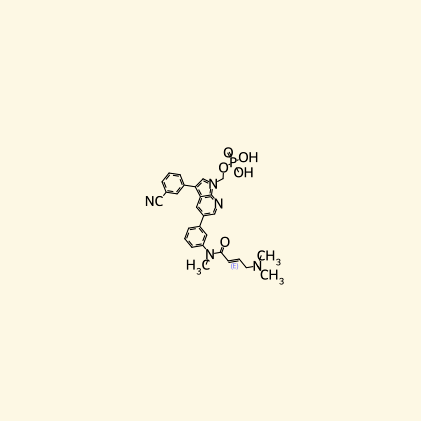 CN(C)C/C=C/C(=O)N(C)c1cccc(-c2cnc3c(c2)c(-c2cccc(C#N)c2)cn3COP(=O)(O)O)c1